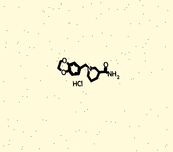 Cl.NC(=O)C1CCCN(Cc2ccc3c(c2)OCCO3)C1